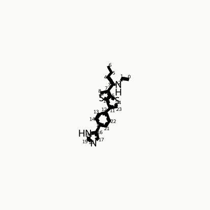 C=CN/C(=C\CC)c1csc2c(-c3ccc(-c4cnc[nH]4)cc3)csc12